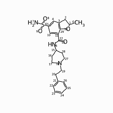 CC1Cc2cc(S(N)(=O)=O)cc(C(=O)NC3CCN(CCc4ccccc4)CC3)c2O1